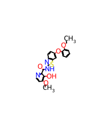 CCOc1ccccc1Oc1ccc2nc(NC(=O)c3nccc(OC)c3O)sc2c1